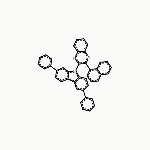 c1ccc(-c2ccc3c(c2)c2ccc(-c4ccccc4)cc2n3-c2nc3ccccc3nc2-c2cccc3ccccc23)cc1